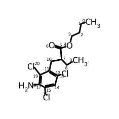 CCCCOC(=O)C(CC)Cc1c(Cl)cc(Cl)c(N)c1Cl